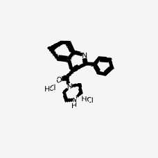 Cl.Cl.O=C(c1cc(-c2ccccc2)nc2ccccc12)N1CCNCC1